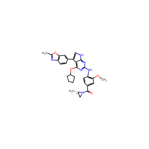 COc1cc(C(=O)N2C[C@@H]2C)ccc1Nc1nc(OC2CCCC2)c2c(-c3ccc4nc(C)oc4c3)c[nH]c2n1